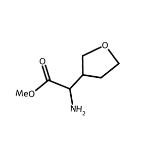 COC(=O)C(N)C1CCOC1